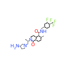 Cc1ccc2c(=O)n([C@H](C)CN3CC[C@@H](N)C3)ccc2c1C(=O)NCc1ccc(C(F)(F)F)c(F)c1